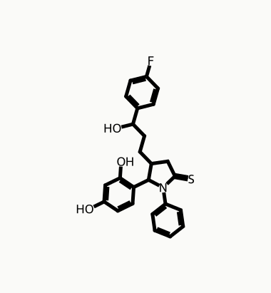 Oc1ccc(C2C(CCC(O)c3ccc(F)cc3)CC(=S)N2c2ccccc2)c(O)c1